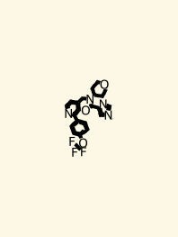 Cn1cnc(C(=O)N(Cc2ccnc(-c3ccc(OC(F)(F)F)cc3)c2)C2CCOCC2)c1